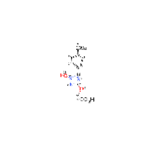 COc1ccc(-c2nc(OCC(=O)O)nn2O)cc1